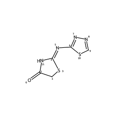 O=C1CSC(=Nc2nncs2)N1